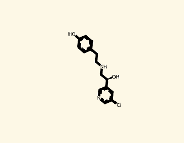 Oc1ccc(CCNC[C@@H](O)c2cncc(Cl)c2)cc1